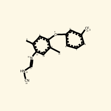 Cc1cc(Oc2cccc(C(F)(F)F)c2)c(C)cc1/N=C/NC#N